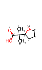 CC(C)(C(=O)O)C1CCCO1